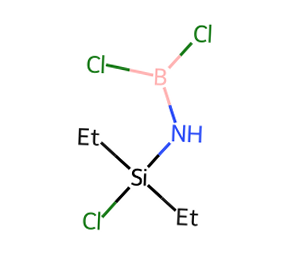 CC[Si](Cl)(CC)NB(Cl)Cl